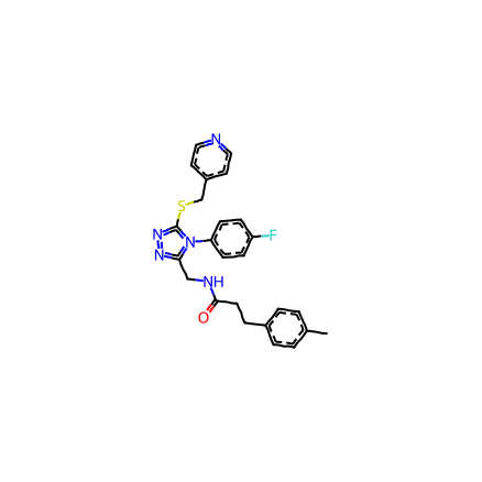 Cc1ccc(CCC(=O)NCc2nnc(SCc3ccncc3)n2-c2ccc(F)cc2)cc1